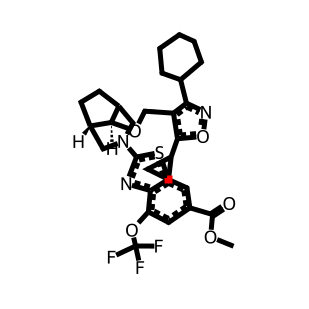 COC(=O)c1cc(OC(F)(F)F)c2nc(N3CC4CC[C@@H](C3)[C@@H]4OCc3c(C4CCCCC4)noc3C3CC3)sc2c1